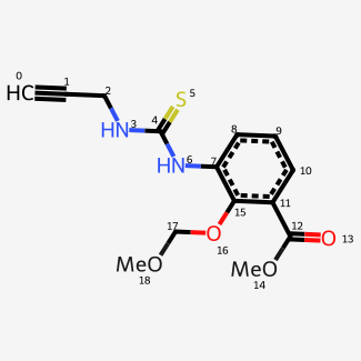 C#CCNC(=S)Nc1cccc(C(=O)OC)c1OCOC